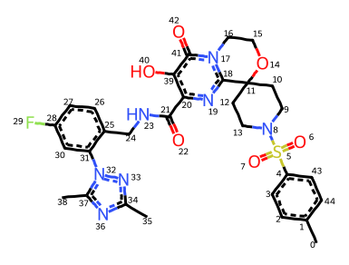 Cc1ccc(S(=O)(=O)N2CCC3(CC2)OCCn2c3nc(C(=O)NCc3ccc(F)cc3-n3nc(C)nc3C)c(O)c2=O)cc1